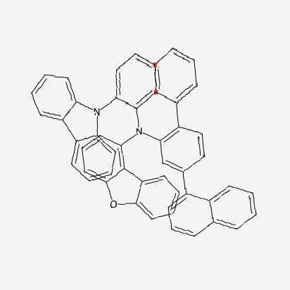 c1ccc(-c2ccc(-c3cccc4ccccc34)cc2N(c2ccccc2-n2c3ccccc3c3ccccc32)c2cccc3oc4ccccc4c23)cc1